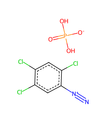 N#[N+]c1cc(Cl)c(Cl)cc1Cl.O=P([O-])(O)O